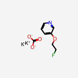 FCCOc1cccnc1.O=C([O-])[O-].[K+].[K+]